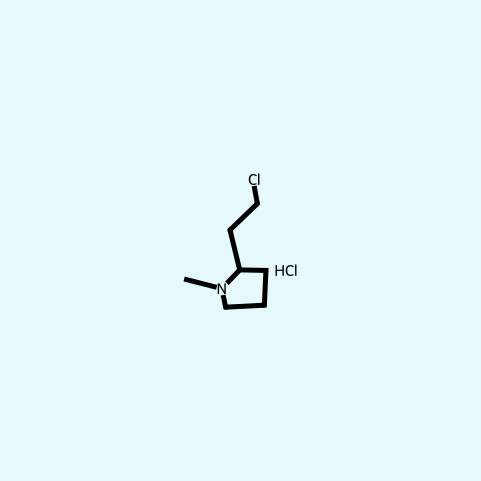 CN1CCCC1CCCl.Cl